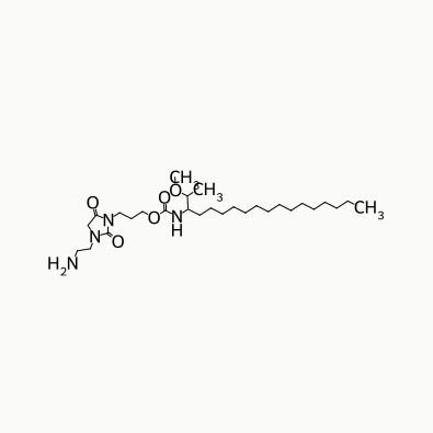 CCCCCCCCCCCCCCCC(NC(=O)OCCCN1C(=O)CN(CCN)C1=O)C(C)OC